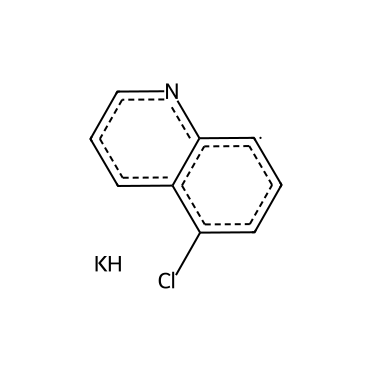 Clc1cc[c]c2ncccc12.[KH]